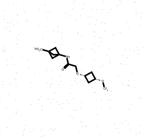 O=C(CO[C@H]1C[C@@H](OC(F)(F)F)C1)NC12CC(C(=O)O)(C1)C2